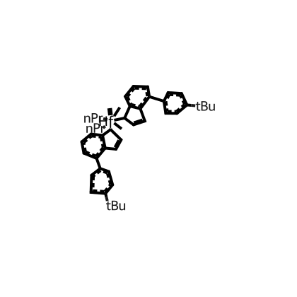 [CH2]=[Hf]([CH3])([CH3])([CH2]CC)([CH2]CC)([CH]1C=Cc2c(-c3ccc(C(C)(C)C)cc3)cccc21)[CH]1C=Cc2c(-c3ccc(C(C)(C)C)cc3)cccc21